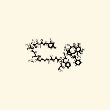 CC(=O)C[C@@]12CO[C@@H]1C[C@H](O)[C@@]1(C)C(=O)[C@H](O)C3=C(C)[C@@H](OC(=O)[C@H](OC(=O)CCC(=O)NCCCCC(NC(=O)CC[C@@H](NC(=O)[C@H](C)NC(=O)/C=C/c4ccc(Cl)cc4F)C(N)=O)C(=O)O)[C@@H](NC(=O)OC(C)(C)C)c4ccccc4)C[C@@](O)([C@@H](OC(=O)c4ccccc4)[C@H]21)C3(C)C